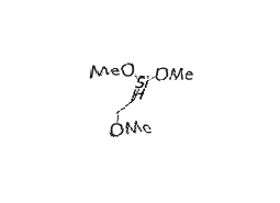 COCC[SiH](OC)OC